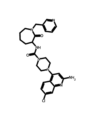 Nc1cc(N2CCN(C(=O)NC3CCCCN(Cc4cccnc4)C3=O)CC2)c2ccc(Cl)cc2n1